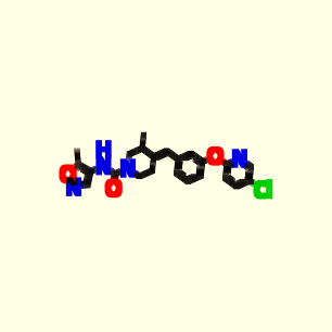 Cc1oncc1NC(=O)N1CC/C(=C\c2cccc(Oc3ccc(Cl)cn3)c2)C(C)C1